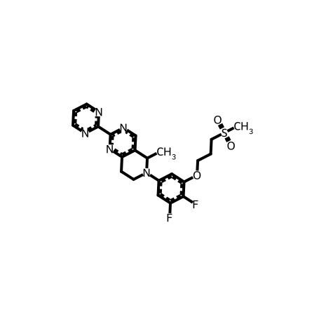 CC1c2cnc(-c3ncccn3)nc2CCN1c1cc(F)c(F)c(OCCCS(C)(=O)=O)c1